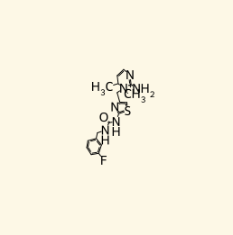 CC1C=CN=C(N)[N+]1(C)Cc1csc(NC(=O)NCc2cccc(F)c2)n1